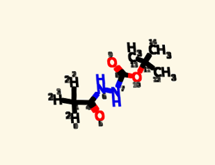 [2H]C([2H])([2H])C(=O)NNC(=O)OC(C)(C)C